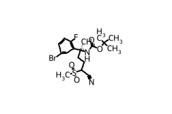 CC(C)(C)OC(=O)N[C@@](C)(CCC(C#N)S(C)(=O)=O)c1cc(Br)ccc1F